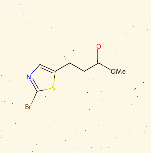 COC(=O)CCc1cnc(Br)s1